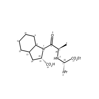 CCC[C@H](N[C@H](C)C(=O)N1C2CCCCC2C[C@H]1C(=O)O)C(=O)OCC